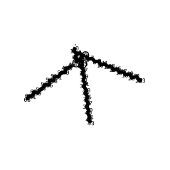 [CH2]Cc1cc(OCCCCCCCCCCCCCCCCCC)c(OCCCCCCCCCCCCCCCCCC)c(OCCCCCCCCCCCCCCCCCC)c1